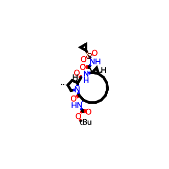 C[C@@H]1C[C@H]2C(=O)N[C@]3(C(=O)NS(=O)(=O)C4CC4)C[C@H]3CCCCCCC[C@H](NC(=O)OC(C)(C)C)C(=O)N2C1